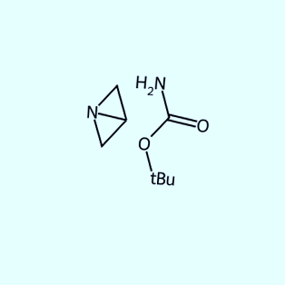 C1C2CN12.CC(C)(C)OC(N)=O